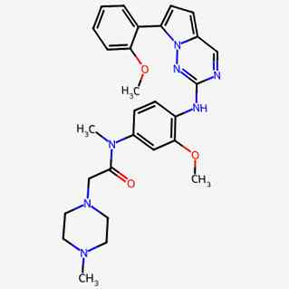 COc1cc(N(C)C(=O)CN2CCN(C)CC2)ccc1Nc1ncc2ccc(-c3ccccc3OC)n2n1